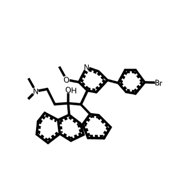 COc1ncc(-c2ccc(Br)cc2)cc1C(c1ccccc1)C(O)(CCN(C)C)c1cccc2ccccc12